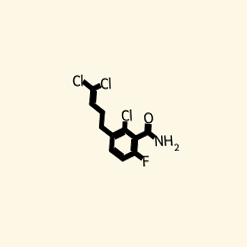 NC(=O)c1c(F)ccc(CCC=C(Cl)Cl)c1Cl